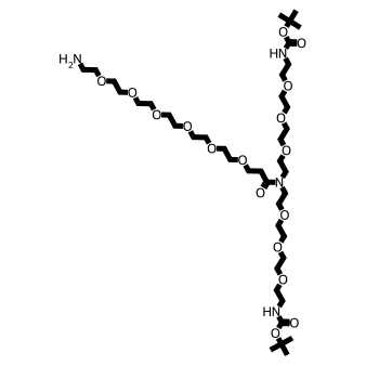 CC(C)(C)OC(=O)NCCOCCOCCOCCN(CCOCCOCCOCCNC(=O)OC(C)(C)C)C(=O)CCOCCOCCOCCOCCOCCOCCN